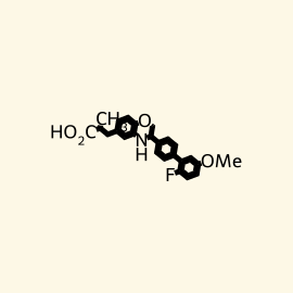 COc1ccc(F)c(-c2ccc(C3COc4ccc(CC(C)C(=O)O)cc4N3)cc2)c1